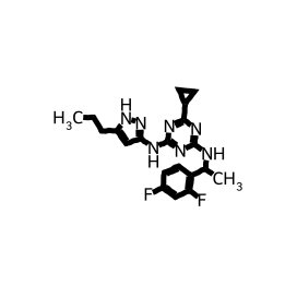 CCCc1cc(Nc2nc(NC(C)c3ccc(F)cc3F)nc(C3CC3)n2)n[nH]1